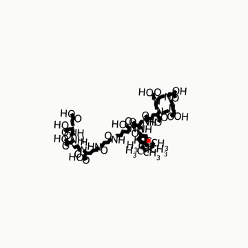 CC(C)(C)[Si](F)(c1ccc(C(=O)NC(CNC(=O)CCC(C(=O)O)N2CCN(CC(=O)O)CCN(CC(=O)O)CCN(CC(=O)O)CC2)C(=O)NC(CCCCNC(=O)CCC(=O)NCCCC(NC(=O)CC[C@H](NC(=O)N[C@@H](CCC(=O)O)C(=O)O)C(=O)O)C(=O)O)C(=O)O)cc1)C(C)(C)C